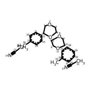 C1COCCO1.C1COCCO1.CC#N.CC#N.Cc1ccccc1.Cc1ccccc1